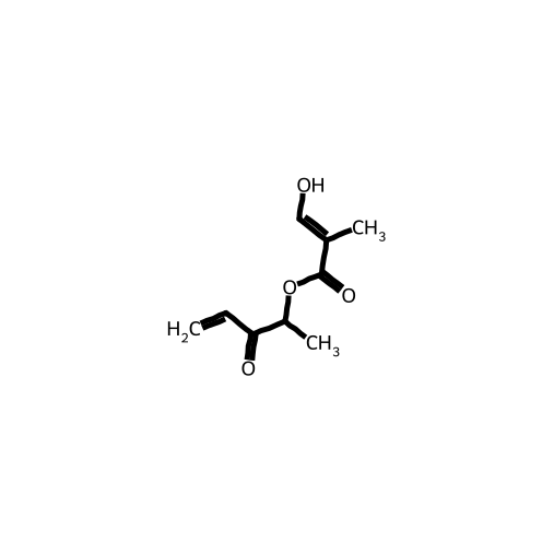 C=CC(=O)C(C)OC(=O)C(C)=CO